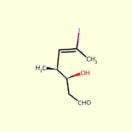 C/C(I)=C\[C@H](C)[C@@H](O)CC=O